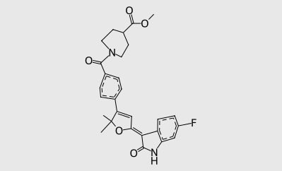 COC(=O)C1CCN(C(=O)c2ccc(C3=CC(=C4C(=O)Nc5cc(F)ccc54)OC3(C)C)cc2)CC1